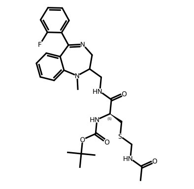 CC(=O)NCSC[C@@H](NC(=O)OC(C)(C)C)C(=O)NCC1CN=C(c2ccccc2F)c2ccccc2N1C